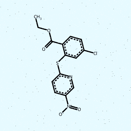 CCOC(=O)c1ccc(Cl)cc1Sc1ccc([N+](=O)[O-])cn1